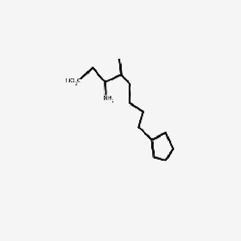 CC(CCCCC1CCCC1)C(N)CC(=O)O